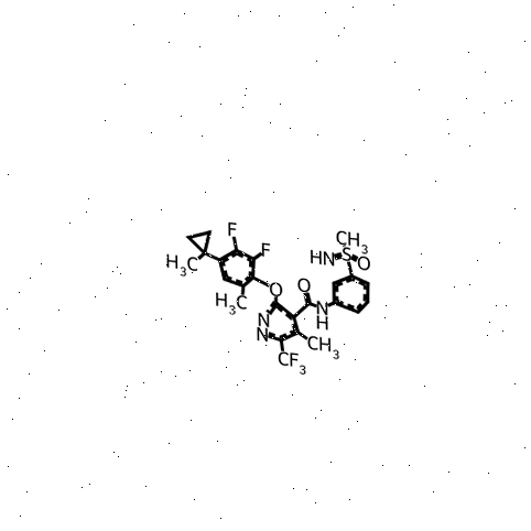 Cc1cc(C2(C)CC2)c(F)c(F)c1Oc1nnc(C(F)(F)F)c(C)c1C(=O)Nc1cccc(S(C)(=N)=O)c1